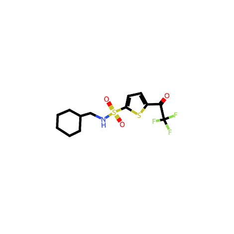 O=C(c1ccc(S(=O)(=O)NCC2CCCCC2)s1)C(F)(F)F